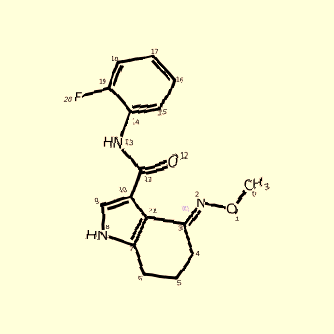 CO/N=C1\CCCc2[nH]cc(C(=O)Nc3ccccc3F)c21